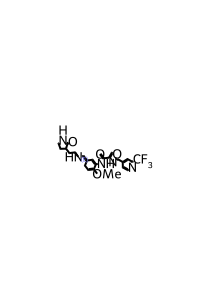 COC1=CC/C(=C\NCCC2CCNC2=O)C=C1NC(=O)c1coc(-c2ccnc(C(F)(F)F)c2)n1